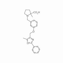 Cc1oc(-c2ccccc2)nc1COc1cccc(CN2CCCC2(C)C(=O)O)c1